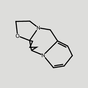 C1=CN2C(=CC1)CN1CCOC13CCCC23